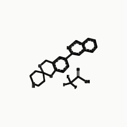 O=C(O)C(F)(F)F.c1ccc2cc(-c3ccc4c(c3)COC3(CCNCC3)O4)ncc2c1